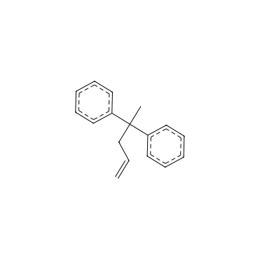 C=CCC(C)(c1ccccc1)c1ccccc1